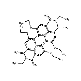 C=C1c2cc(OCC)c3c4c(OCC)cc5c6c(cc(OCC)c(c7c(OCC)cc(c2c37)C(=C)N1CC)c64)C(=C)N(CC)C5=C